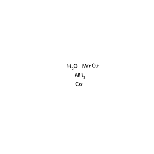 O.[AlH3].[Co].[Cu].[Mn]